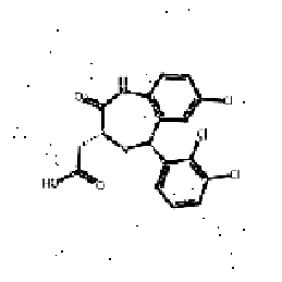 O=C(O)C[C@H]1S[C@H](c2cccc(Cl)c2Cl)c2cc(Cl)ccc2NC1=O